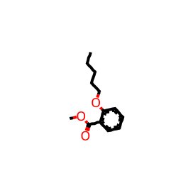 CCCCCOc1ccccc1C(=O)OC